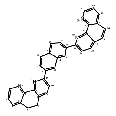 c1cnc2c(c1)CCc1ccc(-c3ccc4ccc(-c5ccc6ccc7cccnc7c6n5)cc4c3)nc1-2